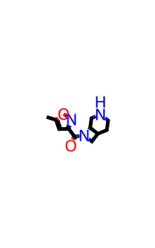 Cc1cc(C(=O)N2CC3CCNCC32)no1